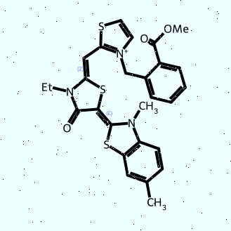 CCn1c(=O)/c(=C2\Sc3cc(C)ccc3N2C)s/c1=C\c1scc[n+]1Cc1ccccc1C(=O)OC